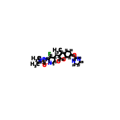 Cc1c(Cc2ccnc(N[S+]([O-])N(C)C)c2F)c(=O)oc2cc(OC3=NCCC=N3)ccc12